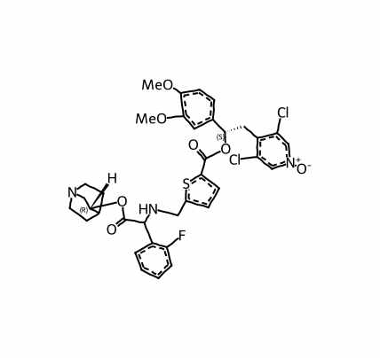 COc1ccc([C@H](Cc2c(Cl)c[n+]([O-])cc2Cl)OC(=O)c2ccc(CNC(C(=O)O[C@H]3CN4CCC3CC4)c3ccccc3F)s2)cc1OC